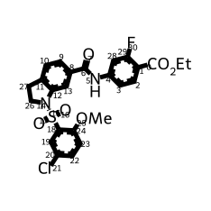 CCOC(=O)c1ccc(NC(=O)c2ccc3c(c2)N(S(=O)(=O)c2cc(Cl)ccc2OC)CC3)cc1F